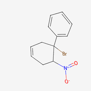 O=[N+]([O-])C1CC=CCC1(Br)c1ccccc1